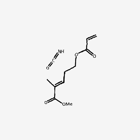 C=CC(=O)OCCC=C(C)C(=O)OC.N=C=O